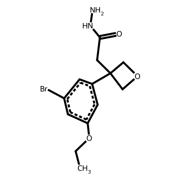 CCOc1cc(Br)cc(C2(CC(=O)NN)COC2)c1